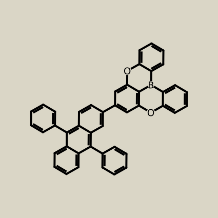 c1ccc(-c2c3ccccc3c(-c3ccccc3)c3cc(-c4cc5c6c(c4)Oc4ccccc4B6c4ccccc4O5)ccc23)cc1